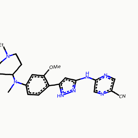 CCN1CCC(N(C)c2ccc(-c3cc(Nc4cnc(C#N)cn4)n[nH]3)c(OC)c2)CC1